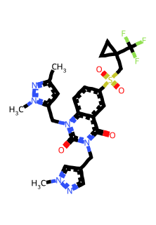 Cc1cc(Cn2c(=O)n(Cc3cnn(C)c3)c(=O)c3cc(S(=O)(=O)CC4(C(F)(F)F)CC4)ccc32)n(C)n1